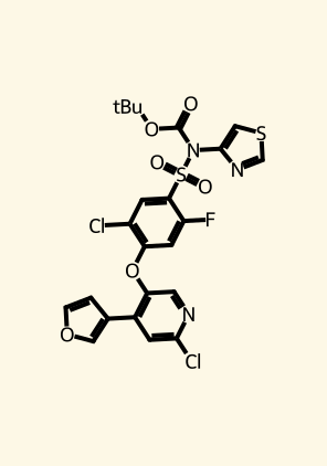 CC(C)(C)OC(=O)N(c1cscn1)S(=O)(=O)c1cc(Cl)c(Oc2cnc(Cl)cc2-c2ccoc2)cc1F